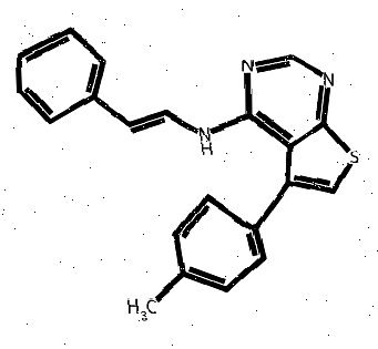 Cc1ccc(-c2csc3ncnc(NC=Cc4ccccc4)c23)cc1